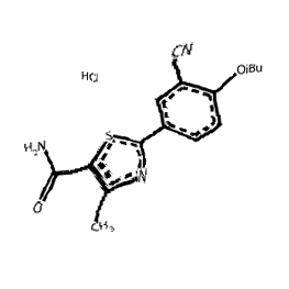 Cc1nc(-c2ccc(OCC(C)C)c(C#N)c2)sc1C(N)=O.Cl